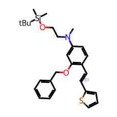 CN(CCO[Si](C)(C)C(C)(C)C)c1ccc(/C=C/c2cccs2)c(OCc2ccccc2)c1